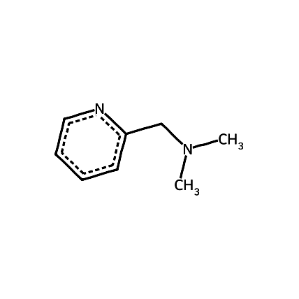 CN(C)Cc1ccccn1